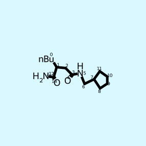 CCCCC(CC(=O)NCC1CCCC1)C(N)=O